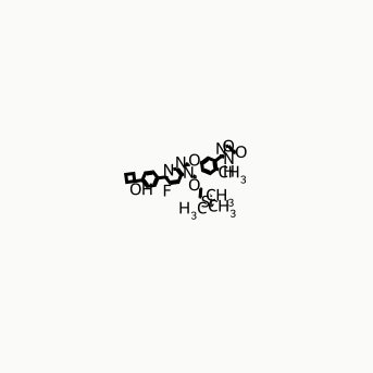 Cc1ccc(Oc2nc3nc(-c4ccc(C5(O)CCC5)cc4)c(F)cc3n2COCC[Si](C)(C)C)cc1-c1noc(=O)[nH]1